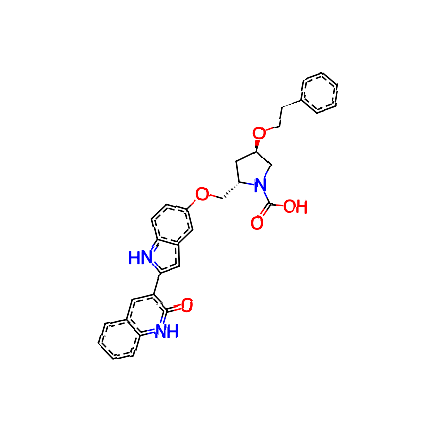 O=C(O)N1C[C@H](OCCc2ccccc2)C[C@H]1COc1ccc2[nH]c(-c3cc4ccccc4[nH]c3=O)cc2c1